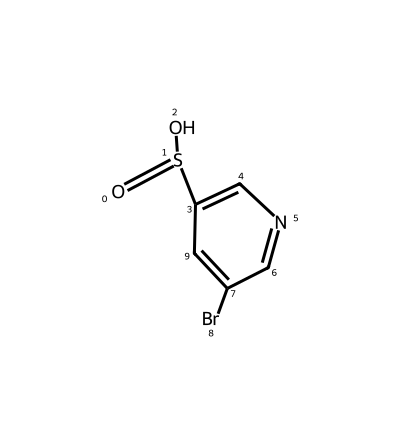 O=S(O)c1cncc(Br)c1